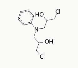 OC(CCl)CN(CC(O)CCl)c1ccccc1